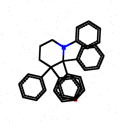 c1ccc(N2CCCC(c3ccccc3)(c3ccccc3)C2(c2ccccc2)c2ccccc2)cc1